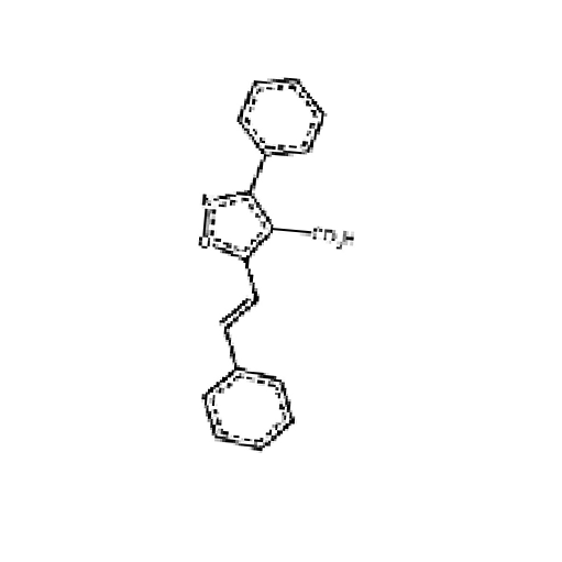 O=C(O)c1c(-c2ccccc2)noc1/C=C/c1ccccc1